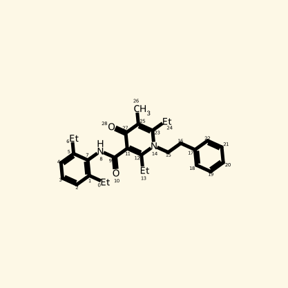 CCc1cccc(CC)c1NC(=O)c1c(CC)n(CCc2ccccc2)c(CC)c(C)c1=O